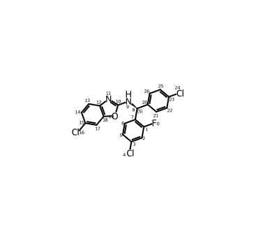 Fc1cc(Cl)ccc1[C@@H](Nc1nc2ccc(Cl)cc2o1)c1ccc(Cl)cc1